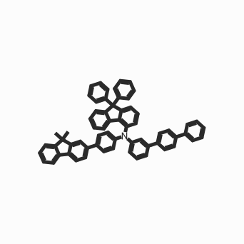 CC1(C)c2ccccc2-c2ccc(-c3ccc(N(c4cccc(-c5ccc(-c6ccccc6)cc5)c4)c4cccc5c4-c4ccccc4C5(c4ccccc4)c4ccccc4)cc3)cc21